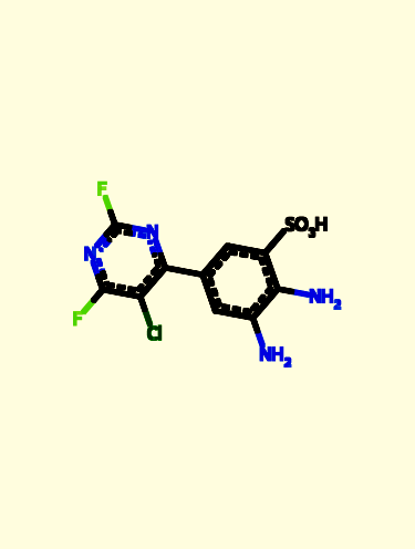 Nc1cc(-c2nc(F)nc(F)c2Cl)cc(S(=O)(=O)O)c1N